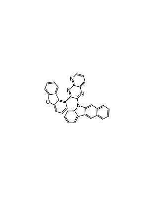 c1ccc2cc3c(cc2c1)c1ccccc1n3-c1nc2cccnc2nc1-c1cccc2oc3ccccc3c12